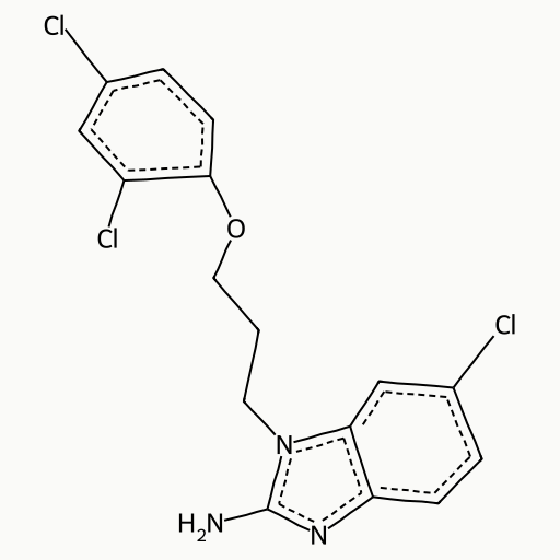 Nc1nc2ccc(Cl)cc2n1CCCOc1ccc(Cl)cc1Cl